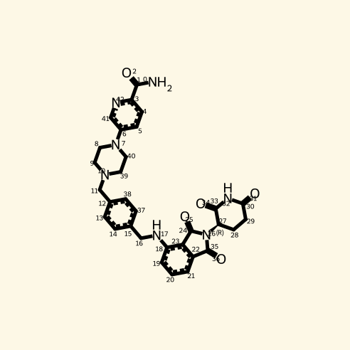 NC(=O)c1ccc(N2CCN(Cc3ccc(CNc4cccc5c4C(=O)N([C@@H]4CCC(=O)NC4=O)C5=O)cc3)CC2)cn1